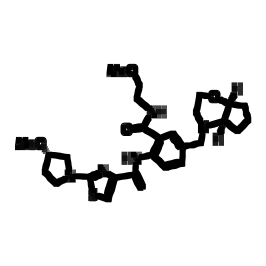 C=C(Nc1ccc(CN2CCO[C@@H]3CCC[C@@H]32)cc1C(=O)NCCOC)c1csc(N2CC[C@H](OC)C2)n1